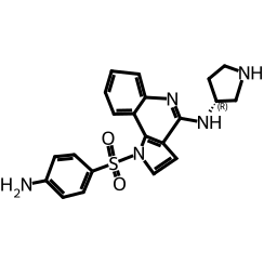 Nc1ccc(S(=O)(=O)n2ccc3c(N[C@@H]4CCNC4)nc4ccccc4c32)cc1